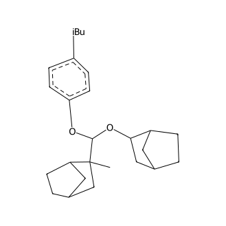 CCC(C)c1ccc(OC(OC2CC3CCC2C3)C2(C)CC3CCC2C3)cc1